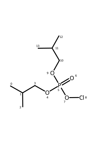 CC(C)COP(=O)(OCl)OCC(C)C